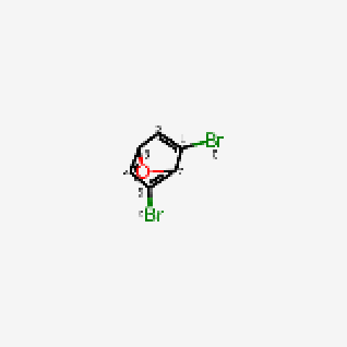 Brc1cc2cc(Br)c1o2